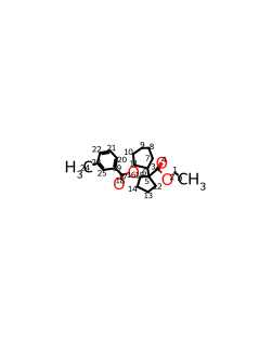 CCOC(=O)C1(C2CCCCC2)CCCC1OC(=O)c1cccc(C)c1